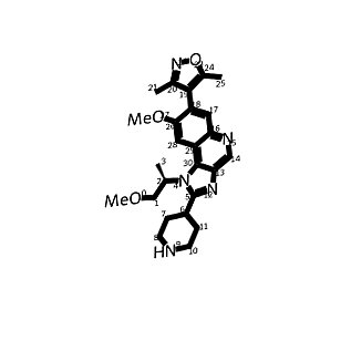 COC[C@@H](C)n1c(C2CCNCC2)nc2cnc3cc(-c4c(C)noc4C)c(OC)cc3c21